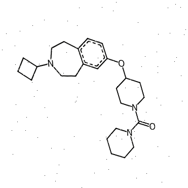 O=C(N1CCCCC1)N1CCC(Oc2ccc3c(c2)CCN(C2CCC2)CC3)CC1